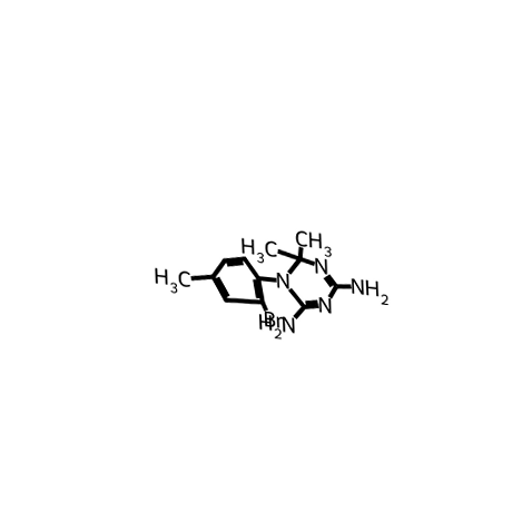 Cc1ccc(N2C(N)=NC(N)=NC2(C)C)c(Br)c1